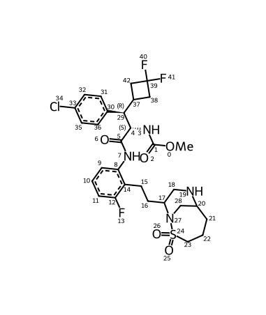 COC(=O)N[C@H](C(=O)Nc1cccc(F)c1CCC1CNC2CCCS(=O)(=O)N1C2)[C@@H](c1ccc(Cl)cc1)C1CC(F)(F)C1